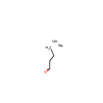 CCCC=O.[LiH].[Nb]